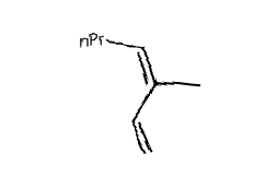 C=CC(C)=CCCC